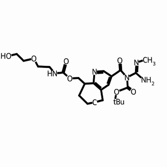 CN=C(N)N(C(=O)OC(C)(C)C)C(=O)c1cnc2c(c1)CCCCC2COC(=O)NCCOCCO